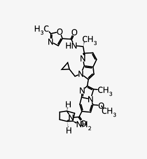 COc1cc(C(=O)N2[C@H]3CC[C@@H]2[C@H](N)C3)cc2nc(-c3cc4ccc([C@@H](C)NC(=O)c5cnc(C)o5)nc4n3CC3CC3)c(C)n12